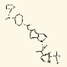 O=C(Nc1ccc2nn(CC(=O)N3CCN(C(=O)C4CCCC4)CC3)cc2c1)c1cccc(C(F)(F)F)n1